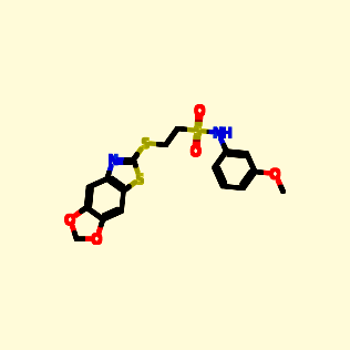 COc1cccc(NS(=O)(=O)CCSc2nc3cc4c(cc3s2)OCO4)c1